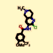 COc1ccc(C(=O)Nc2cc3c(nc2Cl)CCN(C)C3)cc1C(F)(F)F